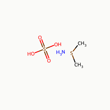 CSC.N.O=S(=O)(O)O